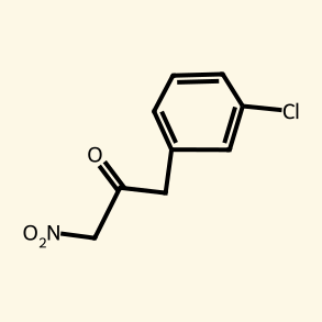 O=C(Cc1cccc(Cl)c1)C[N+](=O)[O-]